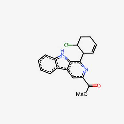 COC(=O)c1cc2c([nH]c3ccccc32)c(C2C=CCCC2Cl)n1